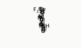 Fc1cc(Cc2nnc3cc(-c4ccnc(NC5CCOCC5)n4)ccn23)ccc1OC(F)(F)F